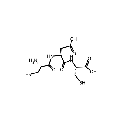 N[C@@H](CS)C(=O)N[C@@H](CC(=O)O)C(=O)N[C@@H](CS)C(=O)O